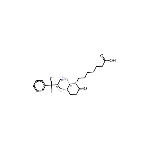 O=C(O)CCCCCCN1C(=O)CCC[C@@H]1/C=C\[C@@H](O)C(F)(F)c1ccccc1